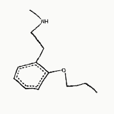 CCCOc1ccccc1CCNC